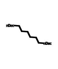 CC[CH]CCCCCCCCCCCCCCCCCCCCCCC